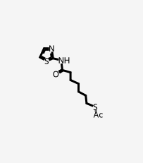 CC(=O)SCCCCCCC(=O)Nc1nccs1